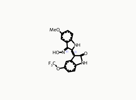 COc1ccc2c(c1)C(=N\O)/C(=C1/C(=O)Nc3ccc(OC(F)(F)F)cc31)N2